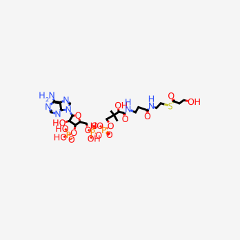 CC(C)(COP(=O)(O)OP(=O)(O)OCC1OC(n2cnc3c(N)ncnc32)C(O)C1OP(=O)(O)O)C(O)C(=O)NCCC(=O)NCCSC(=O)CCO